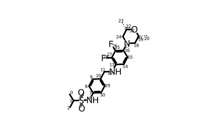 CC(C)S(=O)(=O)Nc1ccc(CNc2ccc(N3C[C@@H](C)O[C@@H](C)C3)c(F)c2F)cc1